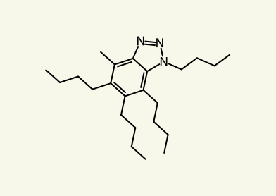 CCCCc1c(CCCC)c(CCCC)c2c(nnn2CCCC)c1C